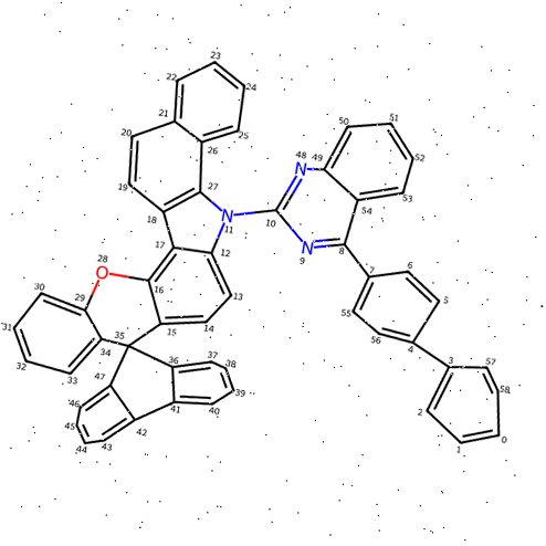 c1ccc(-c2ccc(-c3nc(-n4c5ccc6c(c5c5ccc7ccccc7c54)Oc4ccccc4C64c5ccccc5-c5ccccc54)nc4ccccc34)cc2)cc1